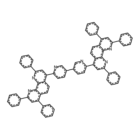 c1ccc(-c2cc(-c3ccccc3)c3ccc4c(-c5ccc(-c6ccc(-c7cc(-c8ccccc8)nc8c7ccc7c(-c9ccccc9)cc(-c9ccccc9)nc78)nc6)cn5)cc(-c5ccccc5)nc4c3n2)cc1